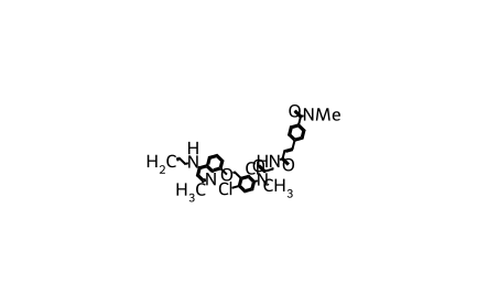 C=CCNc1cc(C)nc2c(OCc3c(Cl)ccc(N(C)C(=O)CNC(=O)/C=C/c4ccc(C(=O)NC)cc4)c3Cl)cccc12